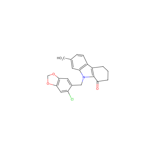 O=C(O)c1ccc2c3c(n(Cc4cc5c(cc4Cl)OCO5)c2c1)C(=O)CCC3